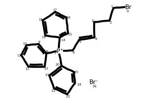 BrCCCC=CC[P+](c1ccccc1)(c1ccccc1)c1ccccc1.[Br-]